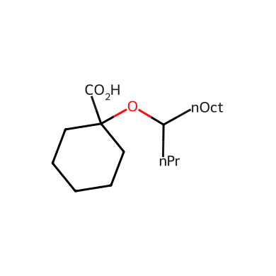 CCCCCCCCC(CCC)OC1(C(=O)O)CCCCC1